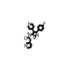 CN(C(=O)Cc1cccnc1)c1c(-c2ccncc2)c(-c2ccc(F)cc2)nn1C